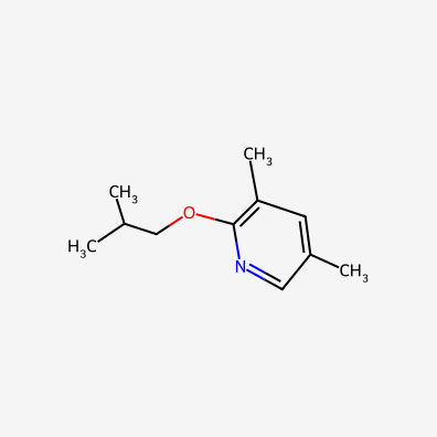 Cc1cnc(OCC(C)C)c(C)c1